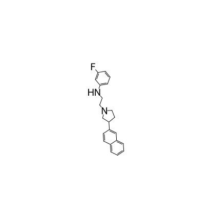 Fc1cccc(NCCN2CCC(c3ccc4ccccc4c3)C2)c1